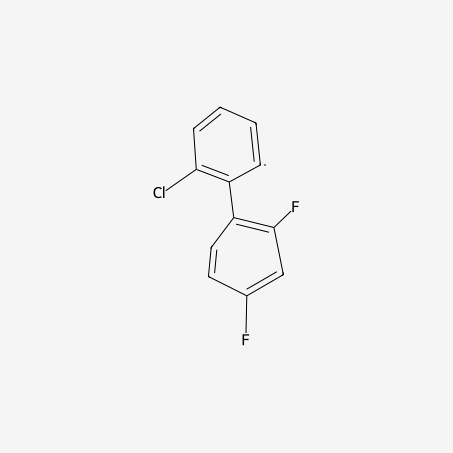 Fc1ccc(-c2[c]cccc2Cl)c(F)c1